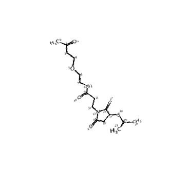 CC(=O)CCOCCNC(=O)CCN1C(=O)CC(SC(C)C)C1=O